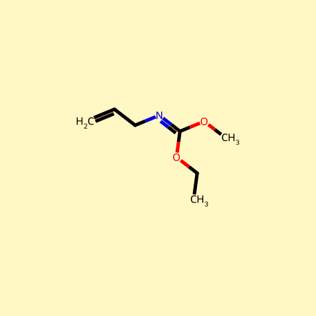 C=CCN=C(OC)OCC